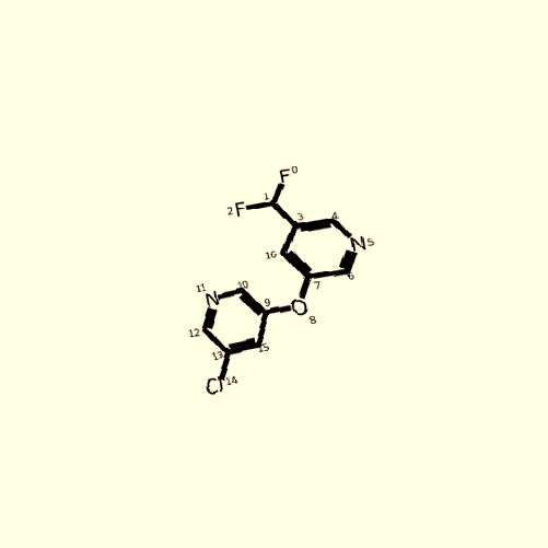 FC(F)c1cncc(Oc2cncc(Cl)c2)c1